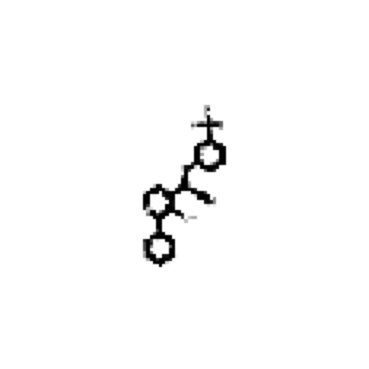 N#C/C(=N\c1cccc(C(F)(F)F)c1)c1ccnc(-c2ccccc2)c1O